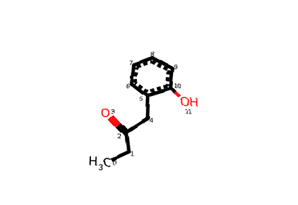 CCC(=O)Cc1ccccc1O